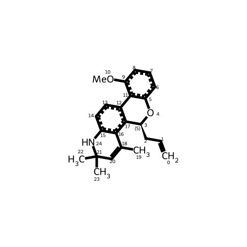 C=CC[C@@H]1Oc2cccc(OC)c2-c2ccc3c(c21)C(C)=CC(C)(C)N3